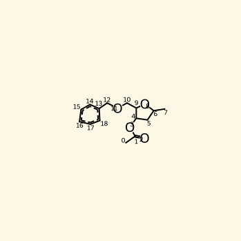 CC(=O)OC1CC(C)OC1COCc1ccccc1